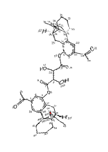 CC(=O)c1cc(OC(=O)C(O)C(O)C(=O)Oc2cc(C(C)=O)cc3c2C[C@@H]2[C@@H]4CCCC[C@]34CCN2C)c2c(c1)[C@@]13CCCC[C@H]1[C@@H](C2)N(C)CC3